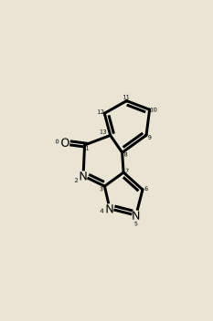 O=C1N=C2N=NC=C2c2ccccc21